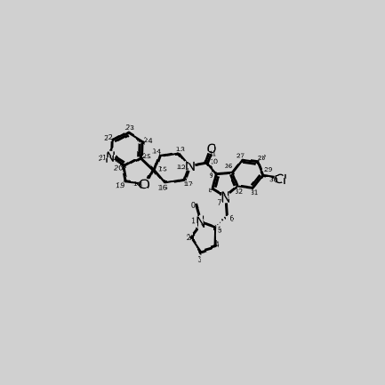 CN1CCC[C@H]1Cn1cc(C(=O)N2CCC3(CC2)OCc2ncccc23)c2ccc(Cl)cc21